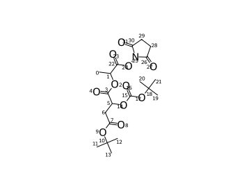 CC(OC(=O)C(CC(=O)OC(C)(C)C)OC(=O)OC(C)(C)C)C(=O)ON1C(=O)CCC1=O